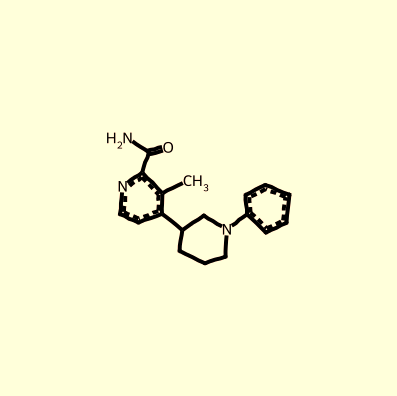 Cc1c(C2CCCN(c3ccccc3)C2)ccnc1C(N)=O